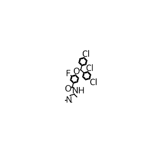 CC(CN(C)C)NC(=O)c1ccc(OC(c2ccc(Cl)cc2)c2ccc(Cl)cc2Cl)c(F)c1